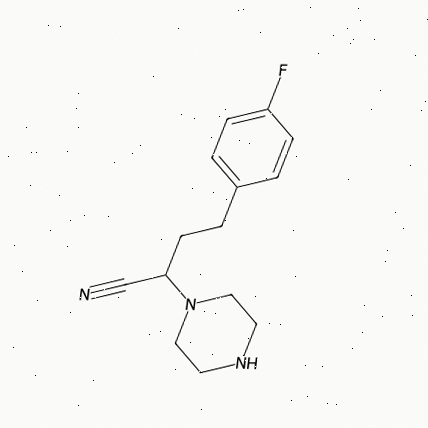 N#CC(CCc1ccc(F)cc1)N1CCNCC1